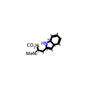 CN[C@H](CC1=CC2C=CC=CC2N1)C(=O)O